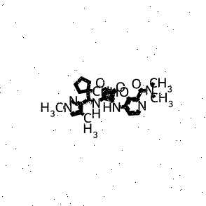 Cc1cn(C)nc1[C@H](Nc1c(Nc2ccnc(C(=O)N(C)C)c2O)c(=O)c1=O)C1(C)CCCC1